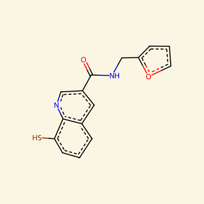 O=C(NCc1ccco1)c1cnc2c(S)cccc2c1